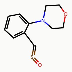 O=S=[C]c1ccccc1N1CCOCC1